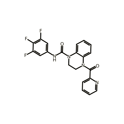 O=C(Nc1cc(F)c(F)c(F)c1)N1CCN(C(=O)c2ccccn2)c2ccccc21